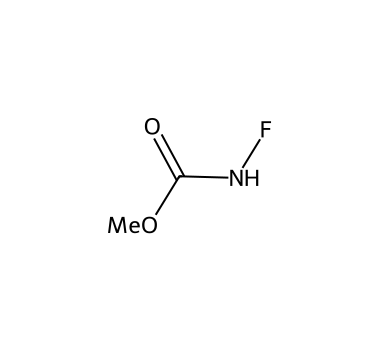 COC(=O)NF